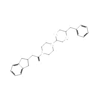 O=C(CC1Cc2ccccc2C1)N1CCN(C2COC(Cc3ccccc3)CO2)CC1